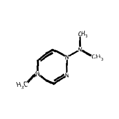 CN1C=CN(N(C)C)N=C1